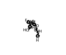 Cl.O=C(CNC(=O)c1ccc(S(=O)(=O)Nc2cc(F)ccc2Oc2ccc(F)cc2)cc1)NCCC1CCNCC1